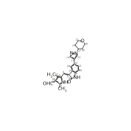 Cc1[nH]c(/C=C2\C(=O)Nc3ccc(-c4cnn(C5CCOCC5)c4)cc32)c(C)c1C=O